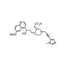 COc1ccc2nccc(C(O)CC[C@@H]3CCN(CC#Cc4cncn4C)C[C@@H]3CC(=O)O)c2c1